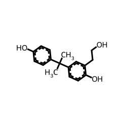 CC(C)(c1ccc(O)cc1)c1ccc(O)c(CCO)c1